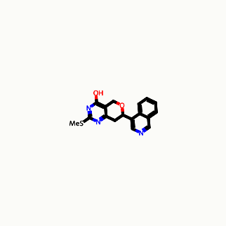 CSc1nc(O)c2c(n1)CC(c1cncc3ccccc13)OC2